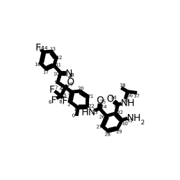 Cc1cc(C2(C(F)(F)F)CC(c3ccc(F)cc3)=NO2)ccc1NC(=O)c1cccc(N)c1C(=O)NC(C)C